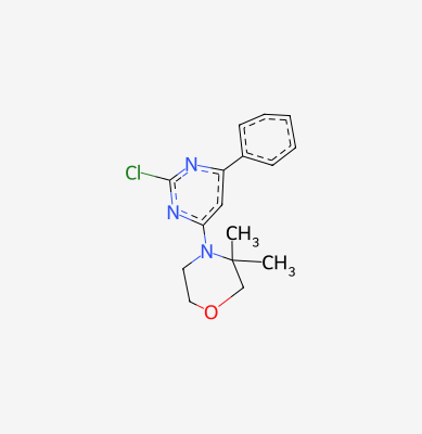 CC1(C)COCCN1c1cc(-c2ccccc2)nc(Cl)n1